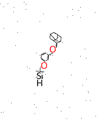 C[SiH](C)C(C)(C)COc1cccc(COC=C2C3CC4CC(C3)CC2C4)c1